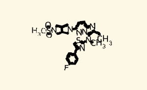 CCc1nc2ccc(N3CC4CN(S(C)(=O)=O)CC4C3)nn2c1N(C)c1nc(-c2ccc(F)cc2)cs1